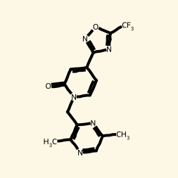 Cc1cnc(C)c(Cn2ccc(-c3noc(C(F)(F)F)n3)cc2=O)n1